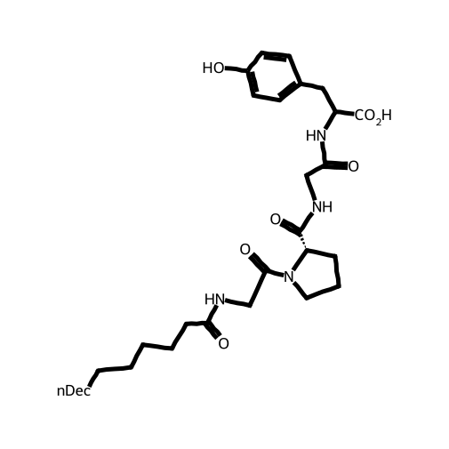 CCCCCCCCCCCCCCCC(=O)NCC(=O)N1CCC[C@H]1C(=O)NCC(=O)NC(Cc1ccc(O)cc1)C(=O)O